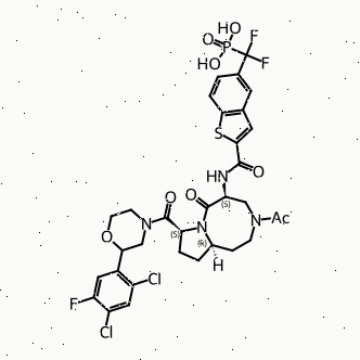 CC(=O)N1CC[C@H]2CC[C@@H](C(=O)N3CCOC(c4cc(F)c(Cl)cc4Cl)C3)N2C(=O)[C@@H](NC(=O)c2cc3cc(C(F)(F)P(=O)(O)O)ccc3s2)C1